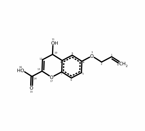 C=CCOc1ccc2c(c1)C(O)C=C(C(=O)O)O2